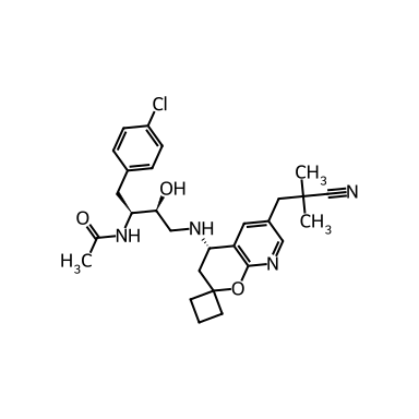 CC(=O)N[C@@H](Cc1ccc(Cl)cc1)[C@@H](O)CN[C@H]1CC2(CCC2)Oc2ncc(CC(C)(C)C#N)cc21